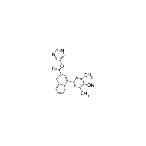 Cc1cc(-c2cc(C(=O)Oc3cncnc3)cc3ccccc23)cc(C)c1O